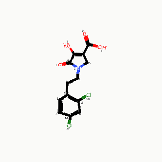 O=C(O)C1=C(O)C(=O)N(CCc2ccc(Cl)cc2Cl)C1